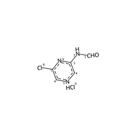 Cl.O=CNc1cncc(Cl)n1